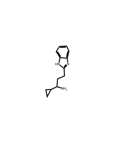 NC(CCc1nc2ccccc2[nH]1)C1CC1